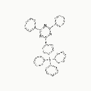 c1ccc(-c2nc(-c3ccccc3)nc(-c3ccc(C(c4ccccc4)(c4ccccc4)c4ccccc4)cc3)n2)cc1